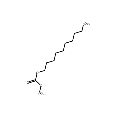 CCCCCCCCCCCCCCCCCCCOC(=O)OCCCCCCCC